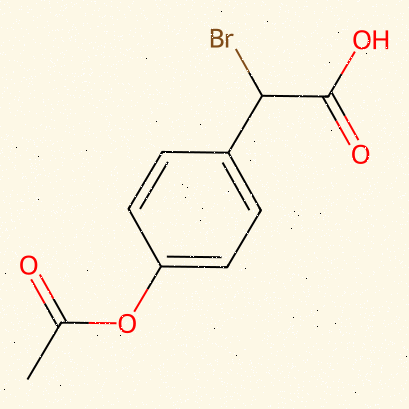 CC(=O)Oc1ccc(C(Br)C(=O)O)cc1